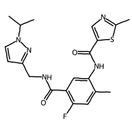 Cc1ncc(C(=O)Nc2cc(C(=O)NCc3ccn(C(C)C)n3)c(F)cc2C)s1